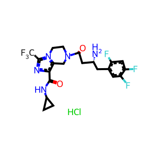 Cl.N[C@@H](CC(=O)N1CCn2c(C(F)(F)F)nc(C(=O)NC3CC3)c2C1)Cc1cc(F)c(F)cc1F